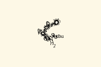 CC(C)(C)OC(=O)CC[C@@H](C(N)=O)N1Cc2c(cc(F)c(Br)c2OCC2=CCN(C(=O)OCc3ccccc3)CC2)C1=O